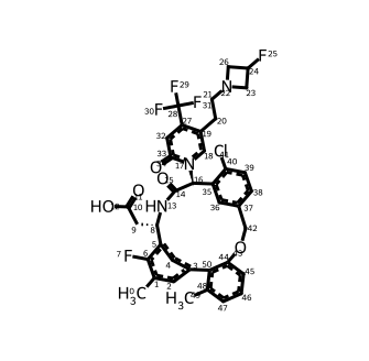 Cc1cc2cc(c1F)[C@H](CC(=O)O)NC(=O)[C@@H](n1cc(CCN3CC(F)C3)c(C(F)(F)F)cc1=O)c1cc(ccc1Cl)COc1cccc(C)c1-2